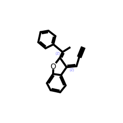 C#C/C=c1\c(=C(/C)c2ccccc2)oc2ccccc12